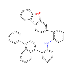 c1ccc(-c2ccc(-c3ccccc3Nc3ccccc3-c3ccc4c(c3)oc3ccccc34)c3ccccc23)cc1